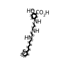 O=C(O)c1cc(NCCCNCCNCCCCCC2CCSS2)ccc1O